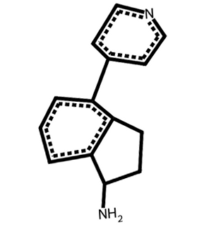 NC1CCc2c(-c3ccncc3)cccc21